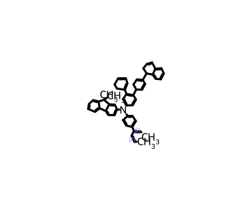 C/C=C\C(=C/C)c1ccc(N(c2ccc(C3C=CC(C4CC=Cc5ccccc54)=CC3)c(C3=CC=CCC3)c2)c2ccc3c(c2)C(C)(C)c2ccccc2-3)cc1